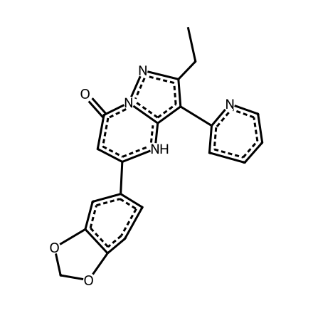 CCc1nn2c(=O)cc(-c3ccc4c(c3)OCO4)[nH]c2c1-c1ccccn1